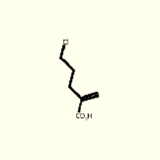 C=C(CCCCl)C(=O)O